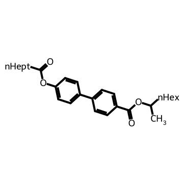 CCCCCCCC(=O)Oc1ccc(-c2ccc(C(=O)OC(C)CCCCCC)cc2)cc1